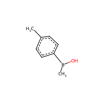 CB(O)c1ccc(C)cc1